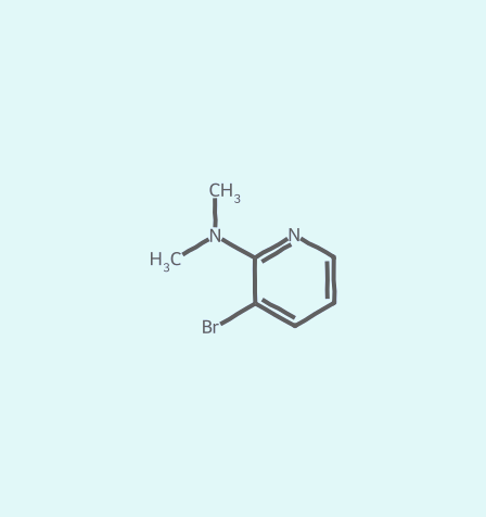 CN(C)c1ncccc1Br